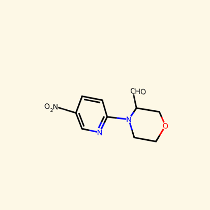 O=CC1COCCN1c1ccc([N+](=O)[O-])cn1